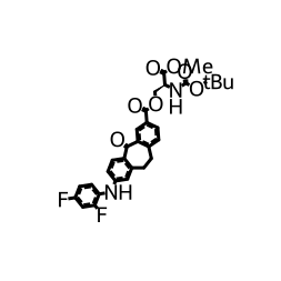 COC(=O)[C@H](COC(=O)c1ccc2c(c1)C(=O)c1ccc(Nc3ccc(F)cc3F)cc1CC2)NC(=O)OC(C)(C)C